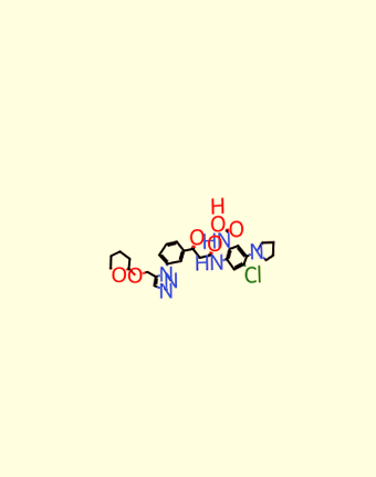 O=C(O)Nc1cc(N2CCCC2)c(Cl)cc1NC(=O)CC(=O)c1cccc(-n2nncc2COC2CCCCO2)c1